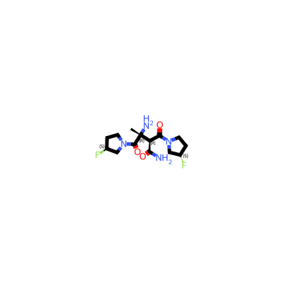 C[C@](N)(C(=O)N1CC[C@H](F)C1)[C@H](C(N)=O)C(=O)N1CC[C@H](F)C1